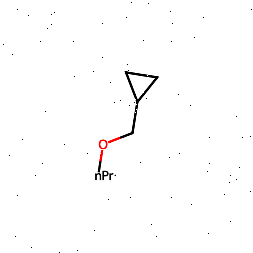 CC[CH]OCC1CC1